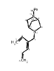 C=C/C=C(\C=C)CN1CC2CC1CN2C(C)C